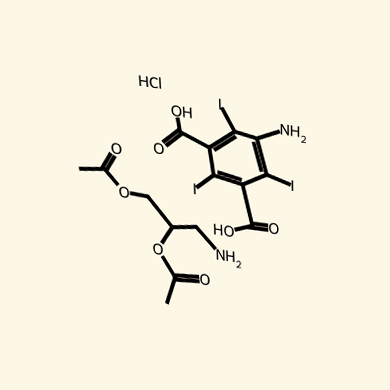 CC(=O)OCC(CN)OC(C)=O.Cl.Nc1c(I)c(C(=O)O)c(I)c(C(=O)O)c1I